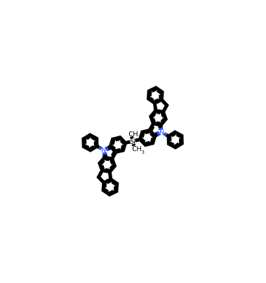 C[Si](C)(c1ccc2c(c1)c1cc3c(cc1n2-c1ccccc1)Cc1ccccc1-3)c1ccc2c(c1)c1cc3c(cc1n2-c1ccccc1)Cc1ccccc1-3